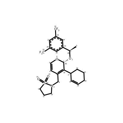 C[C@@H](O[C@H]1OC=CC(CN2CCCS2(=O)=O)=C1C1C=CCCC1)c1cc(C(F)(F)F)cc(C(F)(F)F)c1